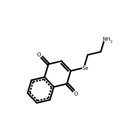 NCC[Se]C1=CC(=O)c2ccccc2C1=O